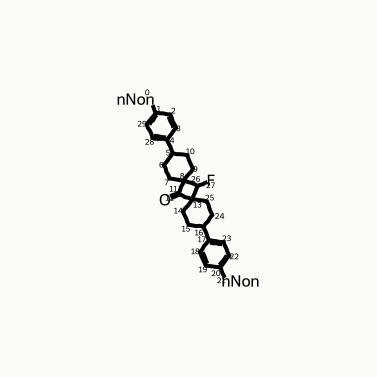 CCCCCCCCCc1ccc(C2CCC3(CC2)C(=O)C2(CCC(c4ccc(CCCCCCCCC)cc4)CC2)C3F)cc1